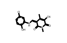 CC1=C(C#N)C(=O)N(C)C(=O)/C1=C\Nc1cc(Cl)ccc1O